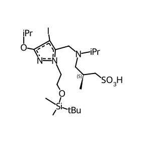 CC(C)Oc1nn(CCO[Si](C)(C)C(C)(C)C)c(CN(C[C@H](C)CS(=O)(=O)O)C(C)C)c1I